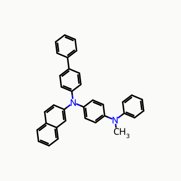 CN(c1ccccc1)c1ccc(N(c2ccc(-c3ccccc3)cc2)c2ccc3ccccc3c2)cc1